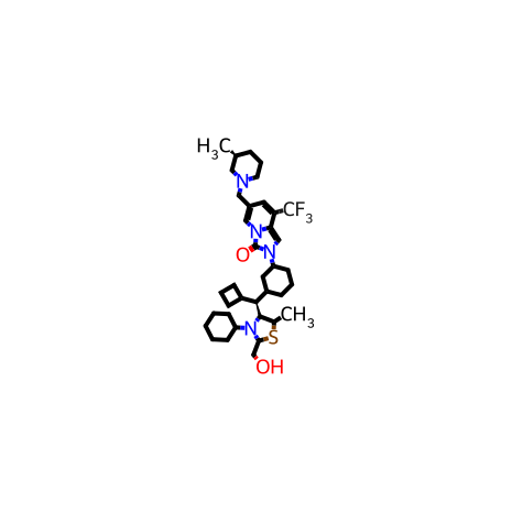 CC1SC(CO)N(C2CCCCC2)C1[C@@H](C1CCC1)C1CCCC(n2cc3c(C(F)(F)F)cc(CN4CCC[C@H](C)C4)cn3c2=O)C1